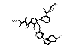 CNC(C)C(=O)Nc1ccc(-c2cccc(C(=O)NCC(C)C)c2)n(Cc2cncc(-n3ccc4cc(F)ccc43)c2)c1=O